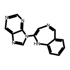 C1=NC=C(n2cnc3cncnc32)Nc2ccccc21